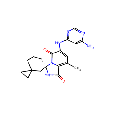 Cc1cc(Nc2cc(N)ncn2)c(=O)n2c1C(=O)N[C@]21CCCC2(CC2)C1